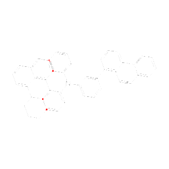 c1ccc(N(c2cccc(-c3cccc4c3ccc3ccccc34)c2)c2ccccc2-c2cccc3cccc(C4CCCCC4)c23)cc1